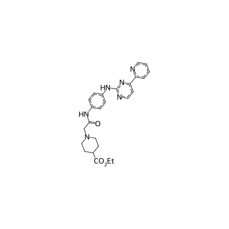 CCOC(=O)C1CCN(CC(=O)Nc2ccc(Nc3nccc(-c4ccccn4)n3)cc2)CC1